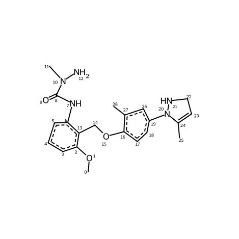 COc1cccc(NC(=O)N(C)N)c1COc1ccc(N2NCC=C2C)cc1C